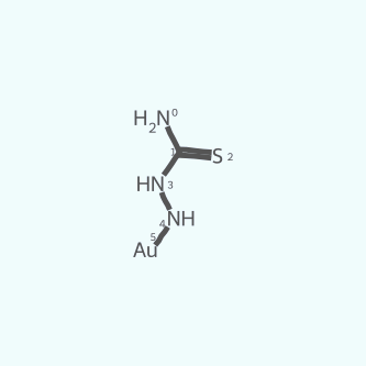 NC(=S)N[NH][Au]